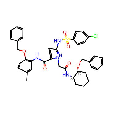 Cc1ccc(OCc2ccccc2)c(NC(=O)c2cc(NS(=O)(=O)c3ccc(Cl)cc3)nn2CC(=O)N[C@H]2CCCC[C@@H]2OCc2ccccc2)c1